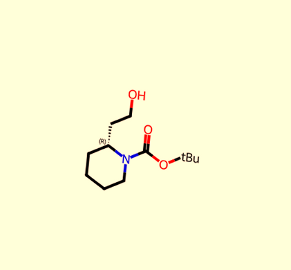 CC(C)(C)OC(=O)N1CCCC[C@@H]1CCO